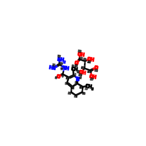 Cc1nc2c(cc1C(=O)NC(=N)N)CCCC2C.O=C(O)C(O)C(O)C(=O)O